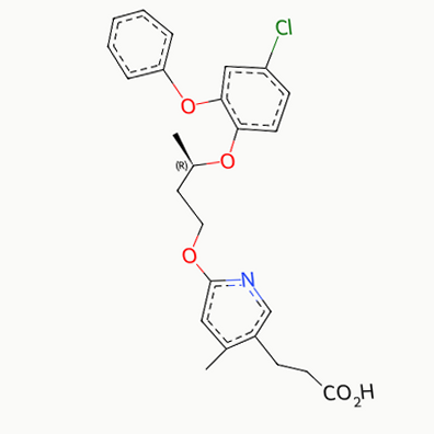 Cc1cc(OCC[C@@H](C)Oc2ccc(Cl)cc2Oc2ccccc2)ncc1CCC(=O)O